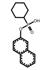 O=P(O)(Oc1ccc2ccccc2c1)C1CCCCC1